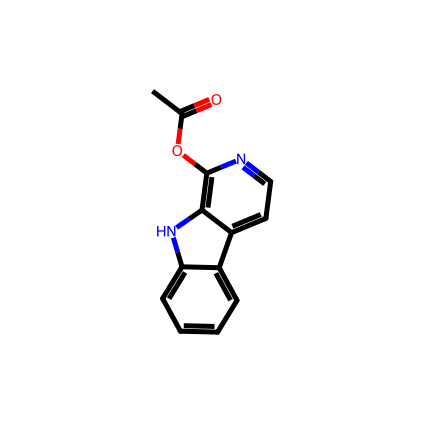 CC(=O)Oc1nccc2c1[nH]c1ccccc12